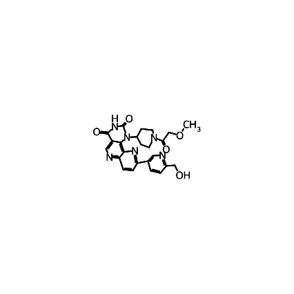 COCC(=O)N1CCC(n2c(=O)[nH]c(=O)c3cnc4ccc(-c5ccc(CO)nc5)nc4c32)CC1